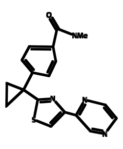 CNC(=O)c1ccc(C2(c3nc(-c4cnccn4)cs3)CC2)cc1